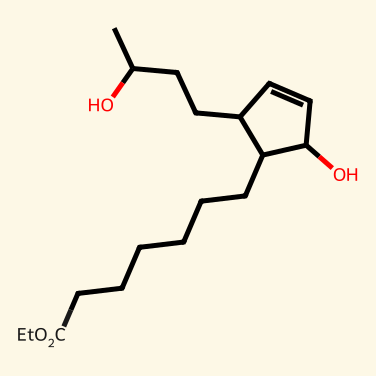 CCOC(=O)CCCCCCC1C(O)C=CC1CCC(C)O